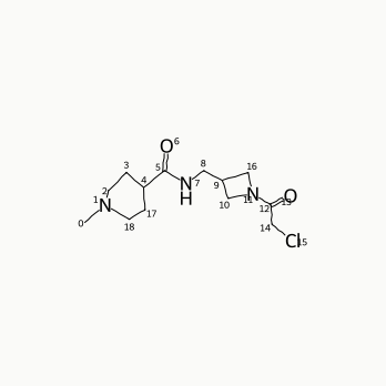 CN1CCC(C(=O)NCC2CN(C(=O)CCl)C2)CC1